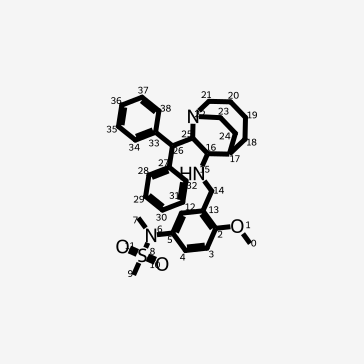 COc1ccc(N(C)S(C)(=O)=O)cc1CNC1C2CCCCN(CC2)C1C(c1ccccc1)c1ccccc1